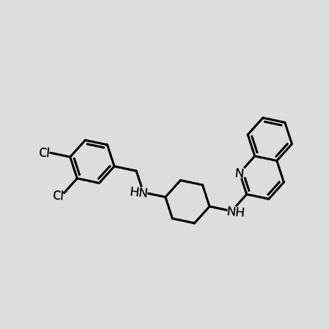 Clc1ccc(CNC2CCC(Nc3ccc4ccccc4n3)CC2)cc1Cl